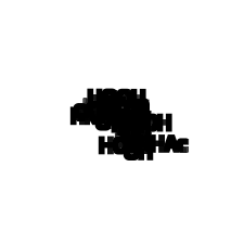 CC(=O)N[C@H]1C(O)[C@@H](O)C(CN)O[C@@H]1OP(=O)(O)OP(=O)(O)OCC1OC(n2ccc(=O)[nH]c2=O)C(O)C1O